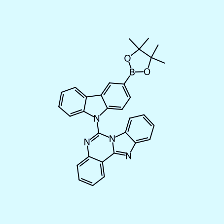 CC1(C)OB(c2ccc3c(c2)c2ccccc2n3-c2nc3ccccc3c3nc4ccccc4n23)OC1(C)C